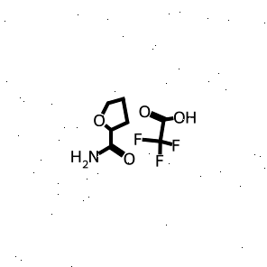 NC(=O)C1CCCO1.O=C(O)C(F)(F)F